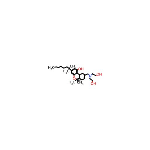 CCCCCCC(C)(C)c1cc(O)c2c(c1)OC(C)(C)[C@H]1CC=C(CN(CCO)CCO)CC21